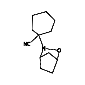 N#CC1(N2OC3CCC2C3)CCCCC1